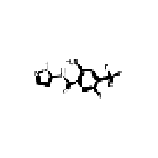 Nc1cc(C(F)(F)F)c(I)cc1C(=O)Nc1ccn[nH]1